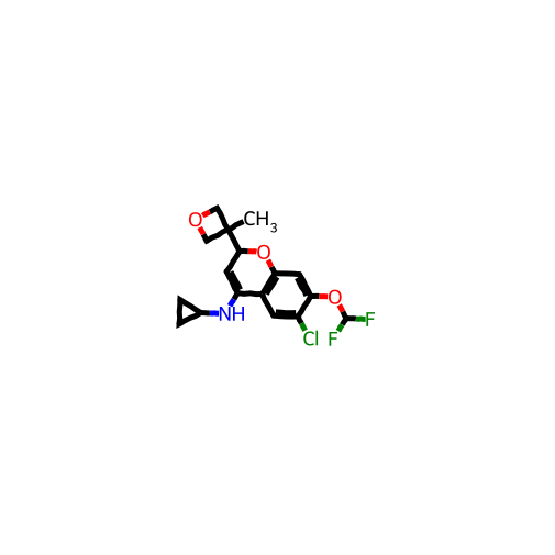 CC1(C2C=C(NC3CC3)c3cc(Cl)c(OC(F)F)cc3O2)COC1